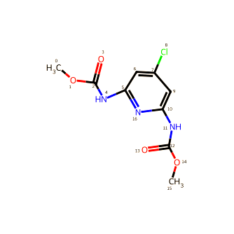 COC(=O)Nc1cc(Cl)cc(NC(=O)OC)n1